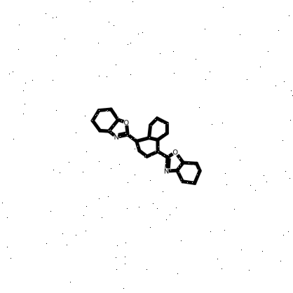 C1CCC2OC(C3CCC(C4=NC5CCCCC5O4)C4CCCCC34)=NC2C1